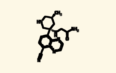 C[C@@H]1CNC[C@](NCC(N)=O)(c2ccc(C#N)c3nccnc23)C1